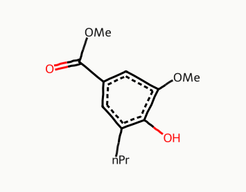 CCCc1cc(C(=O)OC)cc(OC)c1O